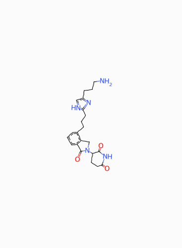 NCCCc1c[nH]c(CCCc2cccc3c2CN(C2CCC(=O)NC2=O)C3=O)n1